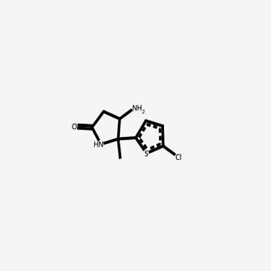 CC1(c2ccc(Cl)s2)NC(=O)CC1N